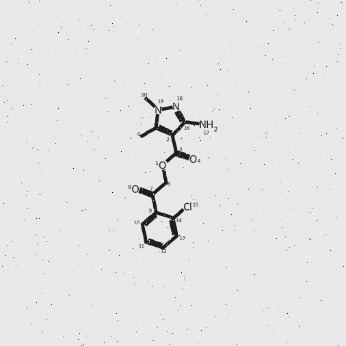 Cc1c(C(=O)OCC(=O)c2ccccc2Cl)c(N)nn1C